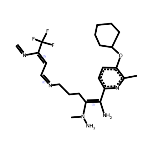 C=N/C(=C\C=N/CCC/C(=C(/N)c1ccc(OC2CCCCC2)c(C)n1)N(C)N)C(F)(F)F